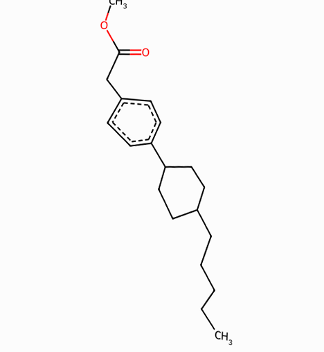 CCCCCC1CCC(c2ccc(CC(=O)OC)cc2)CC1